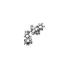 CC(NC(=O)Nc1ccc2c(c1)OC(F)(F)C(F)(F)O2)c1ncnn1-c1ncccn1